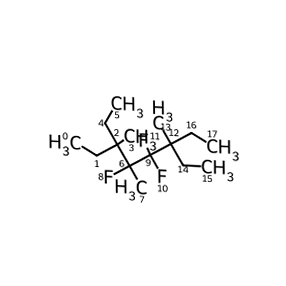 CCC(C)(CC)C(C)(F)C(F)(F)C(C)(CC)CC